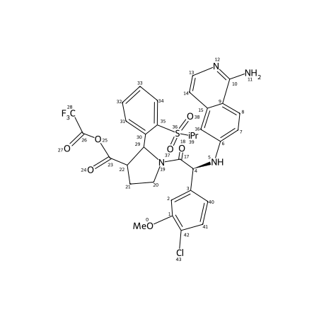 COc1cc([C@H](Nc2ccc3c(N)nccc3c2)C(=O)N2CCC(C(=O)OC(=O)C(F)(F)F)C2c2ccccc2S(=O)(=O)C(C)C)ccc1Cl